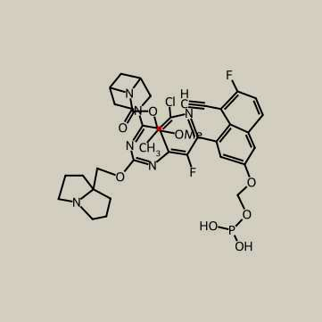 C#Cc1c(F)ccc2cc(OCOP(O)O)cc(-c3nc(Cl)c4c(N5CC6CC(C5)N6C(=O)OC(C)OC)nc(OCC56CCCN5CCC6)nc4c3F)c12